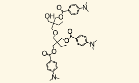 CCC(CO)(COCC(CC)(COC(=O)c1ccc(N(C)C)cc1)COC(=O)c1ccc(N(C)C)cc1)COC(=O)c1ccc(N(C)C)cc1